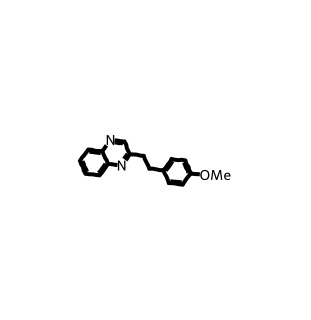 COc1ccc(CCc2cnc3ccccc3n2)cc1